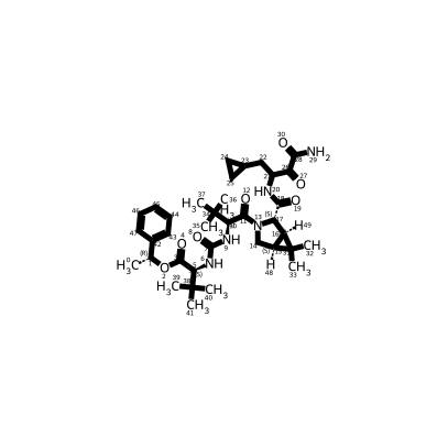 C[C@@H](OC(=O)[C@@H](NC(=O)N[C@H](C(=O)N1C[C@H]2[C@@H]([C@H]1C(=O)NC(CC1CC1)C(=O)C(N)=O)C2(C)C)C(C)(C)C)C(C)(C)C)c1ccccc1